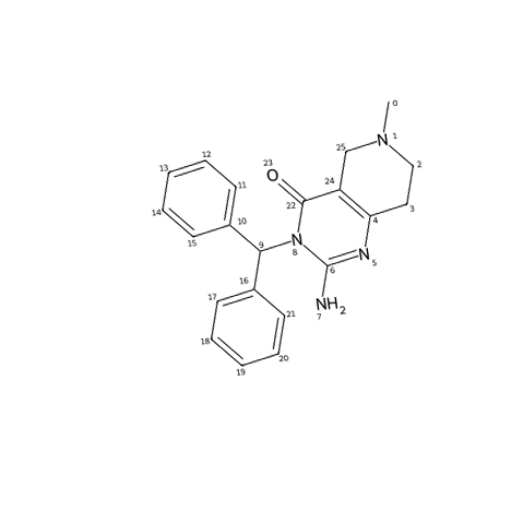 CN1CCc2nc(N)n(C(c3ccccc3)c3ccccc3)c(=O)c2C1